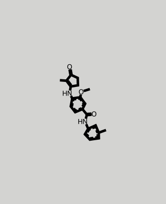 COc1cc(C(=O)Nc2cccc(C)c2)ccc1NC1=C(C)C(=O)CC1